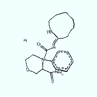 I.NC(=O)C1COCC[N+]1(C(=O)N=C1CCCCCCN1)c1ccccc1